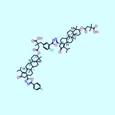 CC(C)C1=C2[C@H]3CC[C@@H]4[C@@]5(C)CC[C@H](OC(=O)CC(C)(Cc6ccc(Cl)c(-c7nnc([C@@]89CC[C@]%10(C)[C@H](CC[C@@H]%11[C@@]%12(C)CC[C@H](OC(=O)CC(C)(C)C(=O)O)C(C)(C)[C@@H]%12CC[C@]%11%10C)C8=C(C(C)C)C(=O)C9)o7)c6)C(=O)O)C(C)(C)[C@@H]5CC[C@@]4(C)[C@]3(C)CCC2(c2nnc(-c3ccc(F)cc3)o2)CC1=O